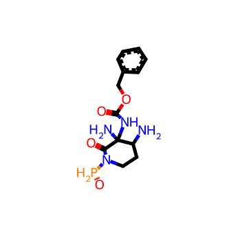 NC1CCN([PH2]=O)C(=O)C1(N)NC(=O)OCc1ccccc1